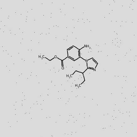 CCOC(=O)c1ccc(N)c(-n2ccnc2C(CC)CC)c1